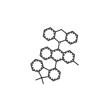 Cc1ccc2c(N3c4ccccc4Cc4ccccc43)c3ccccc3c(-c3cccc4c3-c3ccccc3C4(C)C)c2c1